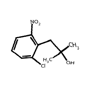 CC(C)(O)Cc1c(Cl)cccc1[N+](=O)[O-]